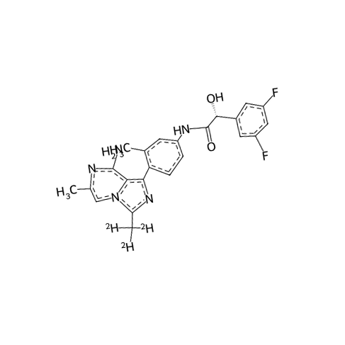 [2H]C([2H])([2H])c1nc(-c2ccc(NC(=O)[C@H](O)c3cc(F)cc(F)c3)cc2C)c2c(N)nc(C)cn12